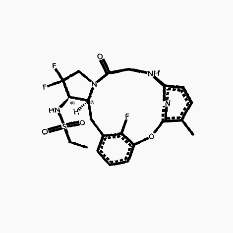 CCS(=O)(=O)N[C@@H]1[C@@H]2Cc3cccc(c3F)Oc3nc(ccc3C)NCC(=O)N2CC1(F)F